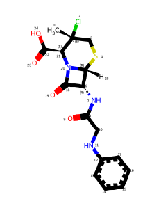 C[C@@]1(Cl)CS[C@@H]2[C@H](NC(=O)CNc3ccccc3)C(=O)N2[C@H]1C(=O)O